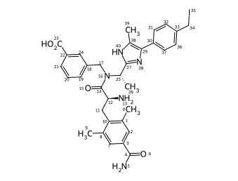 Cc1cc(C(N)=O)cc(C)c1C[C@H](N)C(=O)N(Cc1cccc(C(=O)O)c1)[C@@H](C)c1nc(-c2ccc(CI)cc2)c(C)[nH]1